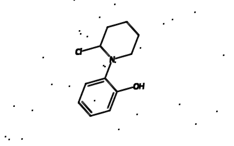 Oc1ccccc1N1CCCCC1Cl